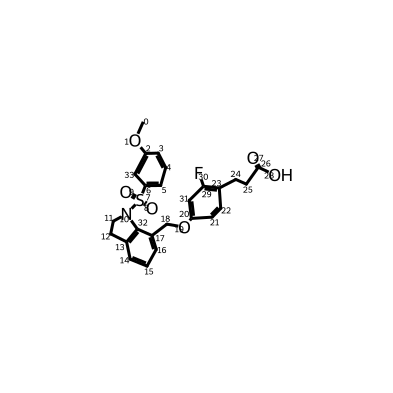 COc1cccc(S(=O)(=O)N2CCc3cccc(COc4ccc(CCC(=O)O)c(F)c4)c32)c1